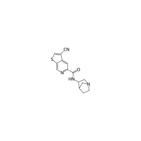 N#Cc1csc2cnc(C(=O)NC3CN4CCC3C4)cc12